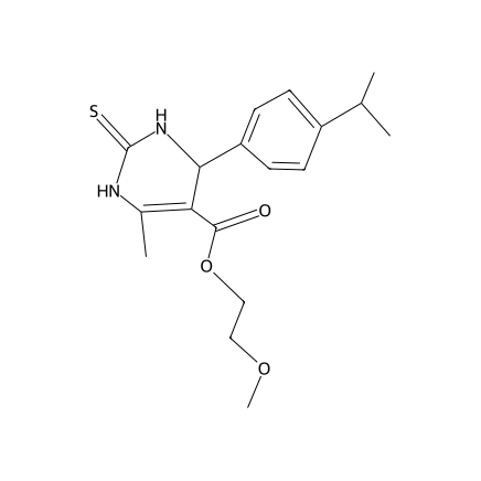 COCCOC(=O)C1=C(C)NC(=S)NC1c1ccc(C(C)C)cc1